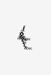 CC#CCOc1ccc(S(=O)(=O)NC(CSC=CCCCCCCCCCCCC)C(=O)NO)cc1